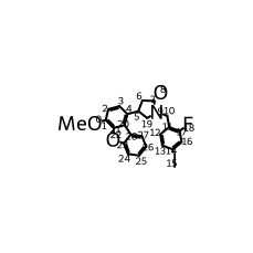 COc1ccc(C2CC(=O)N(Cc3ccc(I)cc3F)C2)c2c1oc1ccccc12